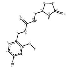 COc1nc(Br)cnc1COC(=O)NCC1CCC(=O)N1